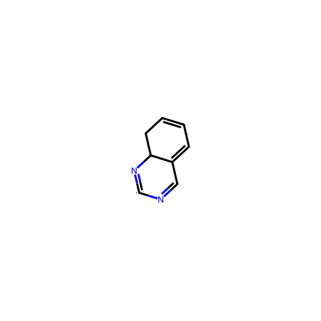 [C]1=NC2CC=CC=C2C=N1